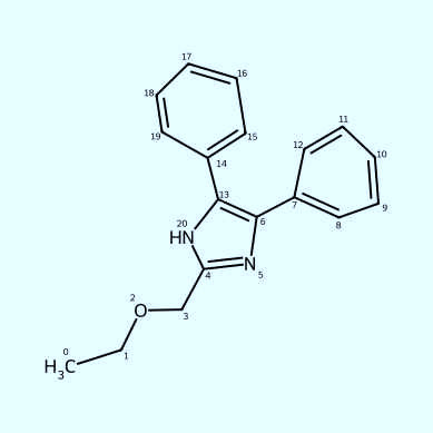 CCOCc1nc(-c2ccccc2)c(-c2ccccc2)[nH]1